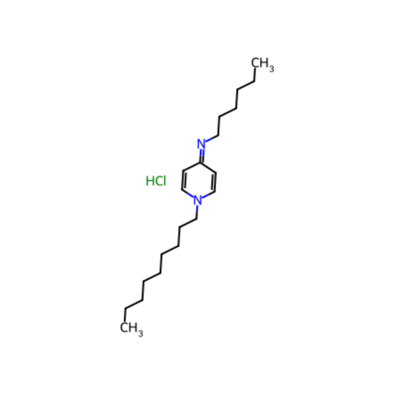 CCCCCCCCCn1ccc(=NCCCCCC)cc1.Cl